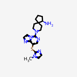 Cn1ccnc1Sc1cnc(N2CCC3(CCC[C@H]3N)CC2)n2ccnc12